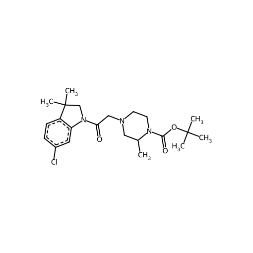 CC1CN(CC(=O)N2CC(C)(C)c3ccc(Cl)cc32)CCN1C(=O)OC(C)(C)C